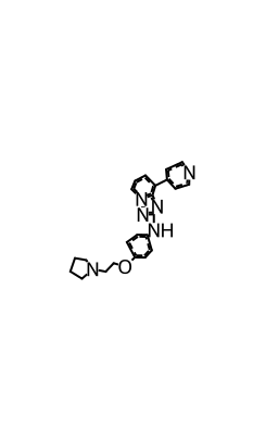 c1cc(-c2ccncc2)c2nc(Nc3ccc(OCCN4CCCC4)cc3)nn2c1